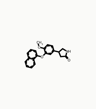 COc1ccc(C2CNC(=O)C2)cc1Oc1cccc2ccccc12